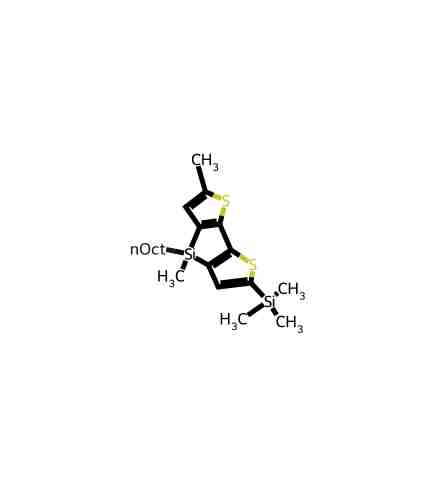 CCCCCCCC[Si]1(C)c2cc(C)sc2-c2sc([Si](C)(C)C)cc21